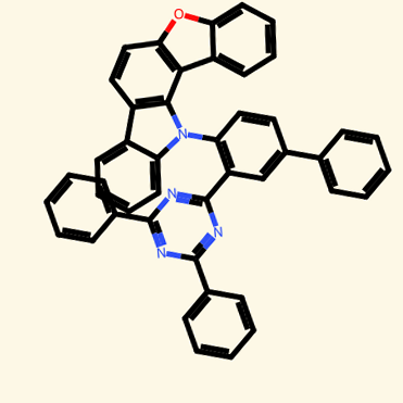 c1ccc(-c2ccc(-n3c4ccccc4c4ccc5oc6ccccc6c5c43)c(-c3nc(-c4ccccc4)nc(-c4ccccc4)n3)c2)cc1